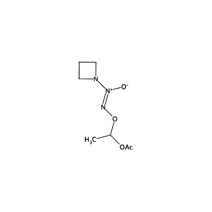 CC(=O)OC(C)O/N=[N+](\[O-])N1CCC1